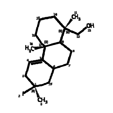 C[C@]1(I)CC=C2C(CCC3[C@](C)(CO)CCC[C@@]23C)C1